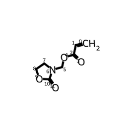 C=CC(=O)OCN1CCOC1=O